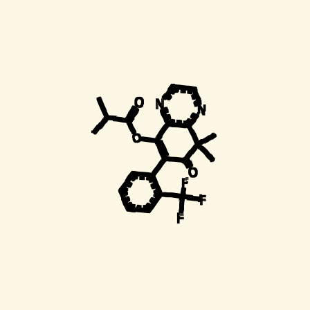 CC(C)C(=O)OC1=C(c2ccccc2C(F)(F)F)C(=O)C(C)(C)c2nccnc21